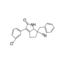 N#CC1(Cc2ccccc2)CCC2=C(c3cccc(Cl)c3)C(=O)NC21